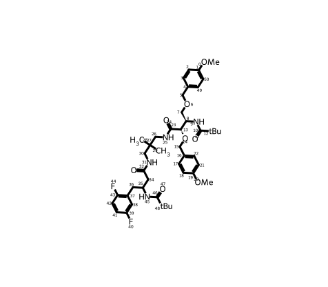 COc1ccc(COC[C@@H](NC(=O)C(C)(C)C)[C@H](OCc2ccc(OC)cc2)C(=O)NCC(C)(C)CNC(=O)CC(Cc2cc(F)ccc2F)NC(=O)C(C)(C)C)cc1